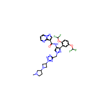 CN1CCC(N2CC(n3nnc(Cn4cc(NC(=O)c5cnn6cccnc56)c(-c5cc(OC(F)F)ccc5OC(F)F)n4)n3)C2)C1